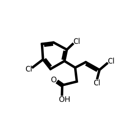 O=C(O)CC(C=C(Cl)Cl)c1cc(Cl)ccc1Cl